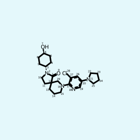 O=C1N([C@H]2CC[C@H](O)CC2)CCC12CCCN(c1ncc(N3CCCC3)cc1Cl)C2